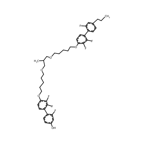 CCCc1ccc(-c2ccc(OCCCCCOCC(C)COCCCCCOc3ccc(-c4ccc(O)cc4F)c(F)c3F)c(F)c2F)c(F)c1